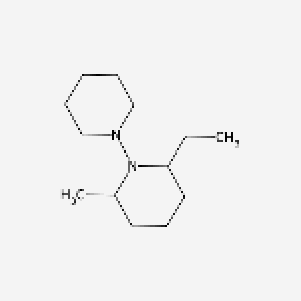 CCC1CCCC(C)N1N1CCCCC1